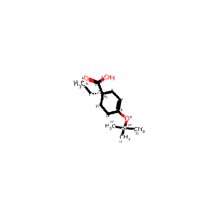 CC[C@]1(C(=O)O)CC=C(O[Si](C)(C)C)CC1